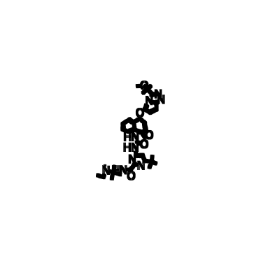 CCN(C)C(C)(C)CNC(=O)c1nc(NC(=O)N[C@@]2(C=O)C=C[C@@H](Oc3ccc4nnc(C(C)(C)OC)n4c3)c3ccccc32)cc(C(C)(C)C)n1